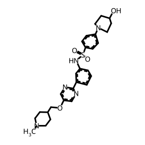 CN1CCC(COc2cnc(-c3cccc(NS(=O)(=O)c4ccc(N5CCC(O)CC5)cc4)c3)nc2)CC1